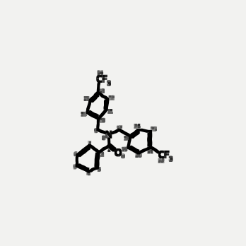 O=C(c1ccccc1)N(Cc1ccc(C(F)(F)F)cc1)Cc1ccc(C(F)(F)F)cc1